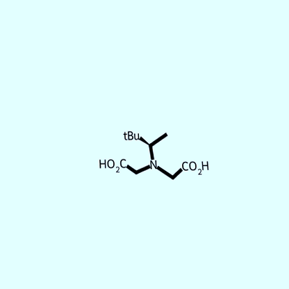 C[C@@H](N(CC(=O)O)CC(=O)O)C(C)(C)C